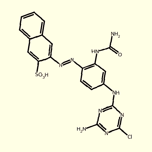 NC(=O)Nc1cc(Nc2nc(N)nc(Cl)n2)ccc1/N=N/c1cc2ccccc2cc1S(=O)(=O)O